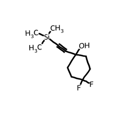 C[Si](C)(C)C#CC1(O)CCC(F)(F)CC1